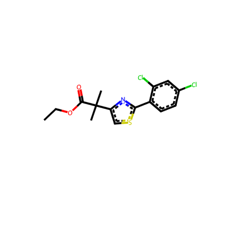 CCOC(=O)C(C)(C)c1csc(-c2ccc(Cl)cc2Cl)n1